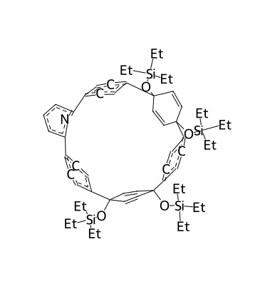 CC[Si](CC)(CC)OC12C=CC(O[Si](CC)(CC)CC)(C=C1)c1ccc(cc1)C1(O[Si](CC)(CC)CC)C=CC(O[Si](CC)(CC)CC)(C=C1)c1ccc(cc1)-c1cccc(n1)-c1ccc2cc1